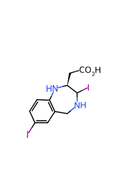 O=C(O)C[C@@H]1Nc2ccc(I)cc2CNC1I